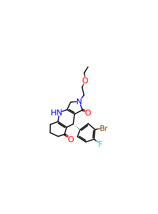 CCOCCN1CC2=C(C1=O)[C@H](c1ccc(F)c(Br)c1)C1=C(CCCC1=O)N2